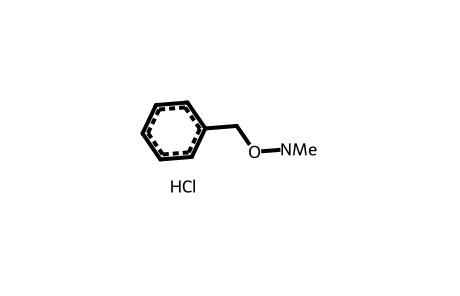 CNOCc1ccccc1.Cl